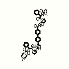 COC(=O)N[C@@H](C(=O)N1CCC[C@H]1CNC(=O)c1ccc(-c2ccc(-c3cnc([C@@H]4CCCN4C(=O)[C@H](NC(=O)N4CCN(C)CC4)c4ccccc4)[nH]3)cc2)cc1)c1ccccc1